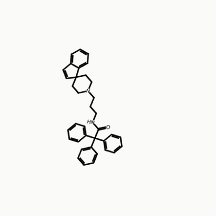 O=C(NCCCN1CCC2(C=Cc3ccccc32)CC1)C(c1ccccc1)(c1ccccc1)c1ccccc1